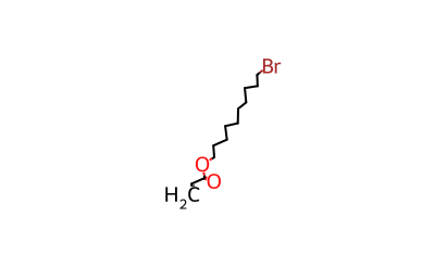 C=CC(=O)OCCCCCCCCCCBr